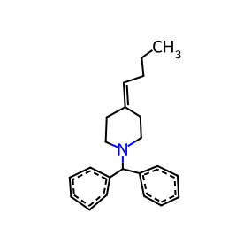 CCCC=C1CCN(C(c2ccccc2)c2ccccc2)CC1